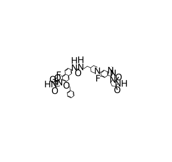 Cn1nc(N2CCC(=O)NC2=O)c2cc(F)c(N3CCC(CCNC(=O)Nc4ccc5c(F)c(N6CC(=O)NS6(=O)=O)c(OCc6ccccc6)cc5c4)CC3)cc21